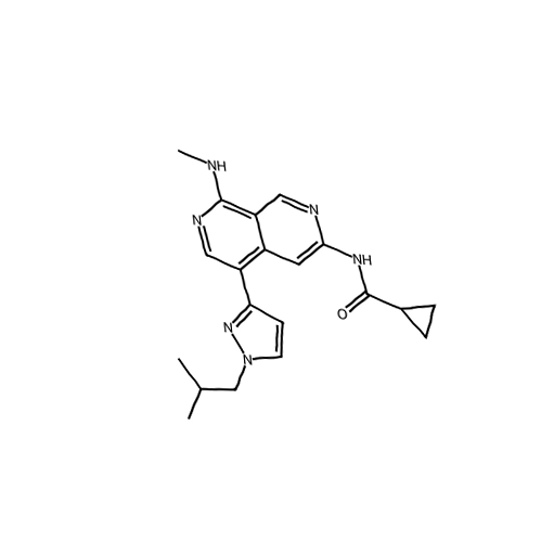 CNc1ncc(-c2ccn(CC(C)C)n2)c2cc(NC(=O)C3CC3)ncc12